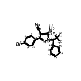 N#Cc1c(-c2ccc(Br)cc2)nn(C(c2ccccc2)C(F)(F)F)c1N